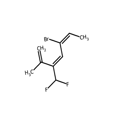 C=C(C)/C(=C\C(Br)=C/C)C(F)F